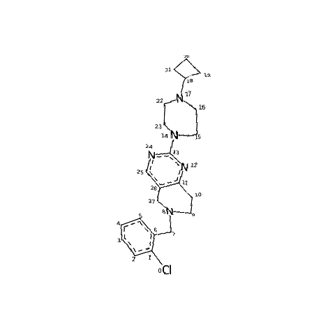 Clc1ccccc1CN1CCc2nc(N3CCN(C4CCC4)CC3)ncc2C1